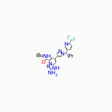 CCC(C)NC(=O)C1=CC(c2cnn(C(c3ccc(C(F)F)nc3)C(C)C)c2)=CC2NC(N)=NN12